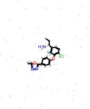 CC[C@@H](N)c1ccc(Cl)c(Oc2ccc(-c3nnc(C)o3)cc2)c1F